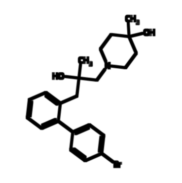 CC1(O)CCN(CC(C)(O)Cc2ccccc2-c2ccc(Br)cc2)CC1